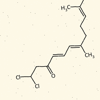 CC(C)=CCCC(C)=CC=CC(=O)CC(Cl)Cl